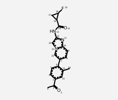 CC(=O)c1ccc(-c2ccc3nc(NC(=O)C4CC4F)cn3c2)c(C)c1